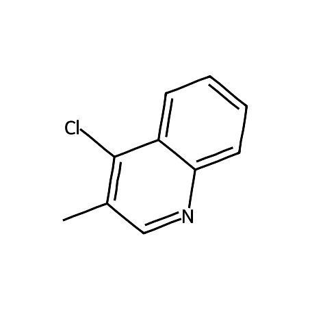 Cc1cnc2ccccc2c1Cl